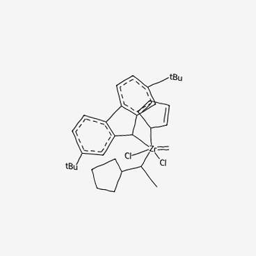 [CH2]=[Zr]([Cl])([Cl])([CH]1C=CC=C1)([CH]1c2cc(C(C)(C)C)ccc2-c2ccc(C(C)(C)C)cc21)[CH](C)C1CCCC1